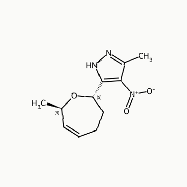 Cc1n[nH]c([C@@H]2CCC=C[C@@H](C)O2)c1[N+](=O)[O-]